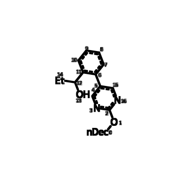 CCCCCCCCCCOc1ncc(-c2ccccc2C(O)CC)cn1